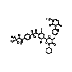 Cn1ccc(=O)n(-c2ccc(C[C@H](NC(=O)c3cc(F)c(NS(=O)(=O)c4ccc(NC(=O)C(C)(C)C)cc4)cc3F)C(=O)OC3CCCCC3)cn2)c1=O